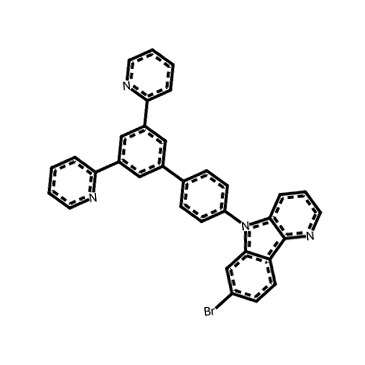 Brc1ccc2c3ncccc3n(-c3ccc(-c4cc(-c5ccccn5)cc(-c5ccccn5)c4)cc3)c2c1